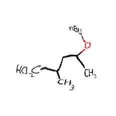 CCCCOC(C)CC(C)C(=O)O